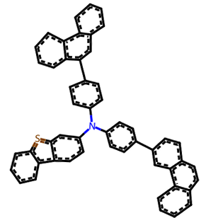 c1ccc2c(c1)ccc1ccc(-c3ccc(N(c4ccc(-c5cc6ccccc6c6ccccc56)cc4)c4ccc5c(c4)sc4ccccc45)cc3)cc12